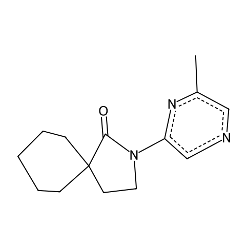 Cc1cncc(N2CCC3(CCCCC3)C2=O)n1